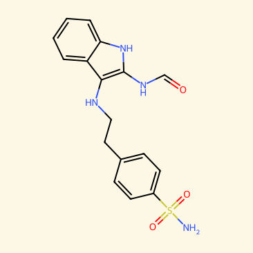 NS(=O)(=O)c1ccc(CCNc2c(NC=O)[nH]c3ccccc23)cc1